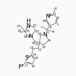 Cc1ccc(C(C)(C)N2CCC(CCc3ccc(F)s3)(CN3CCNC(C)(C)C3)C2)cn1